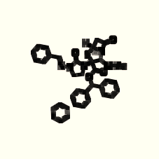 CC(=O)NC1N2C(=O)C[C@H]2S[C@]1(C(=O)OC(c1ccccc1)c1ccccc1)N1CCN(N=Cc2ccccc2)C1=O.c1ccccc1